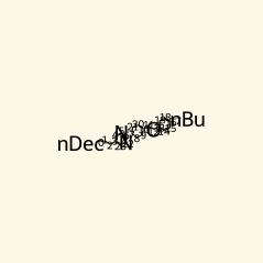 CCCCCCCCCCCCc1cnc([C@H]2CC[C@H](COc3ccc(CCCC)cc3)CC2)nc1